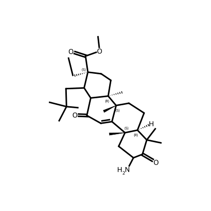 CC[C@]1(C(=O)OC)CC[C@]2(C)C(C(=O)C=C3[C@@]4(C)CC(N)C(=O)C(C)(C)[C@@H]4CC[C@]32C)C1CC(C)(C)C